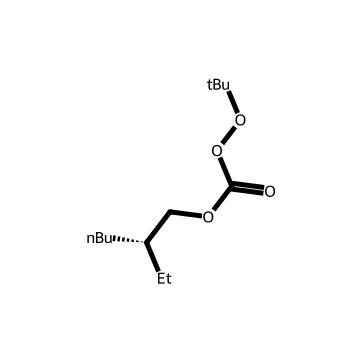 CCCC[C@@H](CC)COC(=O)OOC(C)(C)C